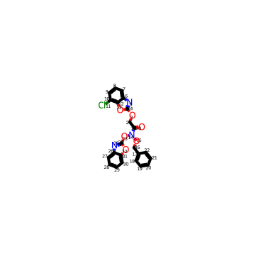 O=C(COc1nc2cccc(Cl)c2o1)N(OCc1ccccc1)Oc1nc2ccccc2o1